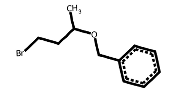 CC(CCBr)OCc1ccccc1